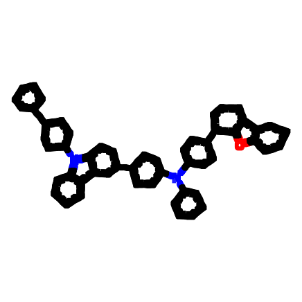 c1ccc(-c2ccc(-n3c4ccccc4c4cc(-c5ccc(N(c6ccccc6)c6ccc(-c7cccc8c7oc7ccccc78)cc6)cc5)ccc43)cc2)cc1